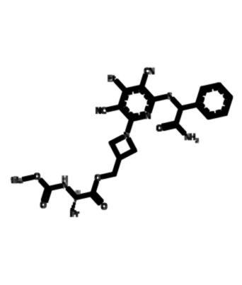 CCc1c(C#N)c(SC(C(N)=O)c2ccccc2)nc(N2CC(COC(=O)[C@@H](NC(=O)OC(C)(C)C)C(C)C)C2)c1C#N